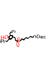 CCCCCCCCCCCCCCCCCOC(=O)CCc1cc(CC(C)C)c(O)c(CC(C)C)c1